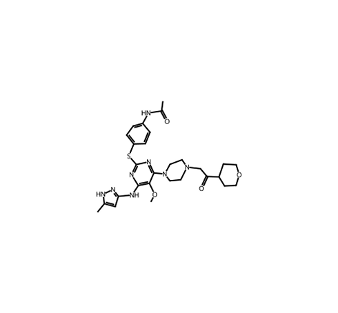 COc1c(Nc2cc(C)[nH]n2)nc(Sc2ccc(NC(C)=O)cc2)nc1N1CCN(CC(=O)C2CCOCC2)CC1